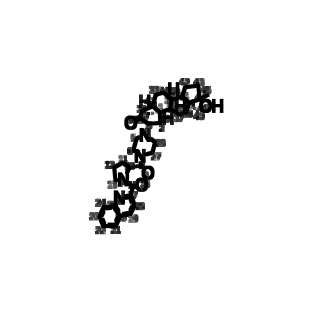 C[C@]12C[C@H](N3CCN(C(=O)[C@@H]4CCCN4C(=O)c4ccc5ccccc5n4)CC3)C(=O)C[C@@H]1CC[C@@H]1[C@@H]2CC[C@@]2(C)[C@H]1CC[C@]2(C)O